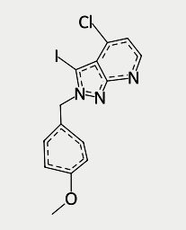 COc1ccc(Cn2nc3nccc(Cl)c3c2I)cc1